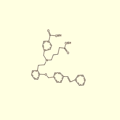 COC(=O)CCCCN(CCc1ccccc1OCc1ccc(/C=C/c2ccccc2)cc1)Cc1ccc(C(=O)OC)cc1